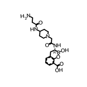 NCCC(=O)NC1CCN(CC(=O)N[C@H]2Cc3cccc(C(=O)O)c3OB2O)CC1